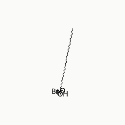 CCCCCCCCCCCCCCCCCCCCCCCCCCCCCCCCCCCC(=O)N(O)Br